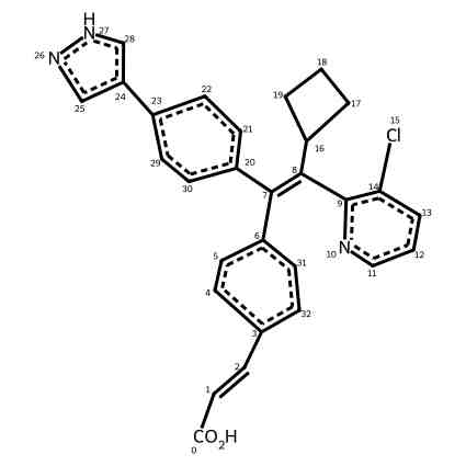 O=C(O)/C=C/c1ccc(/C(=C(\c2ncccc2Cl)C2CCC2)c2ccc(-c3cn[nH]c3)cc2)cc1